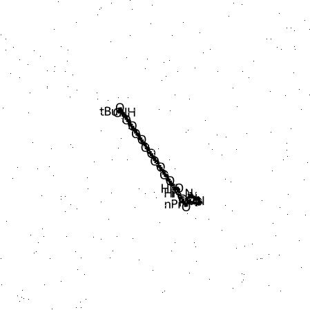 CCCN(OCCNC(=O)NCCOCCOCCOCCOCCOCCOCCOCCOCCOCCOCCNC(=O)OC(C)(C)C)C(=O)C1=Cc2ccncc2N=C(N)C1